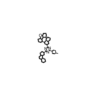 CC1C=CC(c2nc(-c3cc(-c4cccc5oc6ccccc6c45)c4ccccc4c3)nc(-c3ccc4ccc5ccccc5c4c3)n2)=CC1